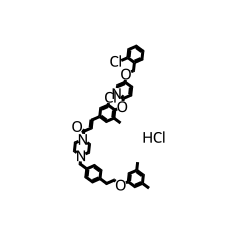 Cc1cc(C)cc(OCCc2ccc(CN3CCN(C(=O)C=Cc4cc(C)c(Oc5ccc(OCc6ccccc6Cl)cn5)c(Cl)c4)CC3)cc2)c1.Cl